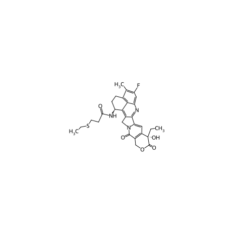 CCSCCC(=O)N[C@H]1CCc2c(C)c(F)cc3nc4c(c1c23)Cn1c-4cc2c(c1=O)COC(=O)[C@]2(O)CC